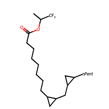 CCCCCC1CC1CC1CC1CCCCCCCC(=O)OC(C)C(F)(F)F